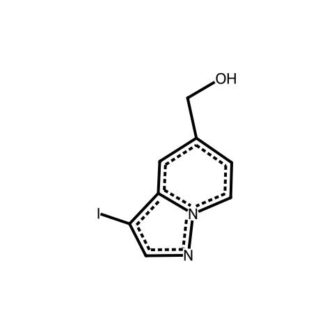 OCc1ccn2ncc(I)c2c1